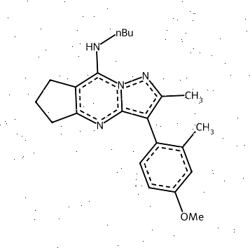 CCCCNc1c2c(nc3c(-c4ccc(OC)cc4C)c(C)nn13)CCC2